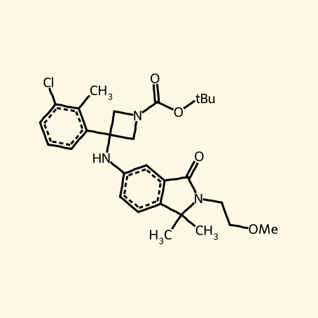 COCCN1C(=O)c2cc(NC3(c4cccc(Cl)c4C)CN(C(=O)OC(C)(C)C)C3)ccc2C1(C)C